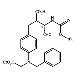 CCOC(=O)CN(Cc1ccccc1)c1ccc(CC(C(=O)O)[C@@H](C=O)NC(=O)OC(C)(C)C)cc1